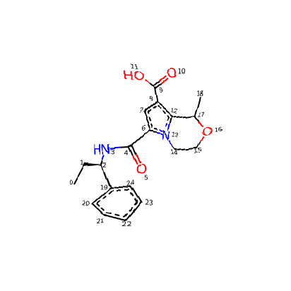 CC[C@@H](NC(=O)c1cc(C(=O)O)c2n1CCOC2C)c1ccccc1